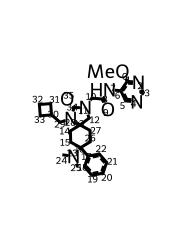 COc1ncncc1NC(=O)CN1CC2(CCC(c3ccccc3)(N(C)C)CC2)N(CC2CCC2)C1=O